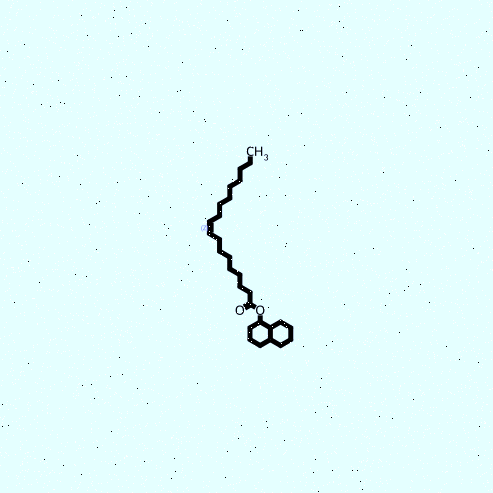 CCCCCCCC/C=C\CCCCCCCC(=O)OC1CCCC2CCCCC21